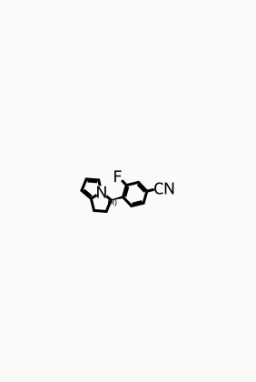 N#Cc1ccc([C@H]2CCc3cccn32)c(F)c1